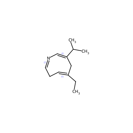 CC/C1=C\C/C=N\C=C(\C(C)C)C1